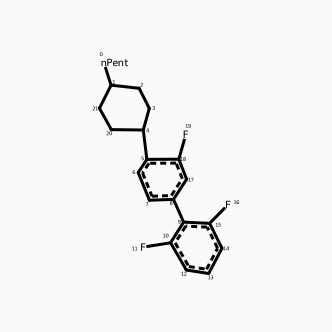 CCCCCC1CCC(c2ccc(-c3c(F)cccc3F)cc2F)CC1